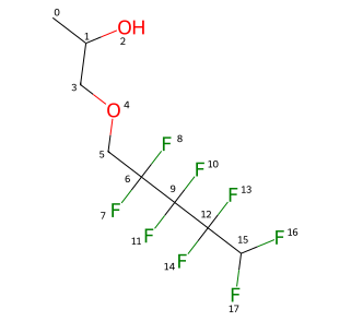 CC(O)COCC(F)(F)C(F)(F)C(F)(F)C(F)F